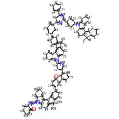 CC1(C)c2ccccc2-c2c1ccc1c2c2ccccc2n1-c1ccc(-c2nc(-c3ccccc3)cc(-c3cccc(-c4ccc5c(c4)C(C)(C)c4ccc6c(c4-5)c4ccccc4n6-c4ccc(-c5cccc6c5oc5ccc(-c7ccc8c(c7)-c7c(ccc9c7c7ccccc7n9-c7nc9ccccc9o7)C8(C)C)cc56)cn4)c3)n2)cc1